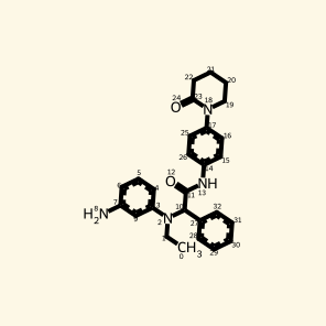 CCN(c1cccc(N)c1)C(C(=O)Nc1ccc(N2CCCCC2=O)cc1)c1ccccc1